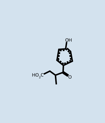 CC(CC(=O)O)C(=O)c1ccc(O)cc1